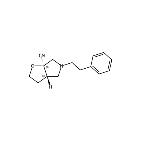 N#C[C@]12CN(CCc3ccccc3)C[C@@H]1CCO2